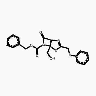 O=C(OCc1ccccc1)N1C(=O)C2N=C(COc3ccccc3)SC21CO